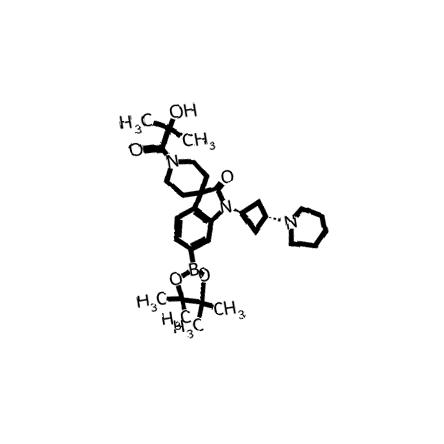 CC(C)(O)C(=O)N1CCC2(CC1)C(=O)N([C@H]1C[C@@H](N3CCCCC3)C1)c1cc(B3OC(C)(C)C(C)(C)O3)ccc12